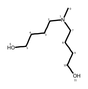 CN(CCCCO)CCCCO